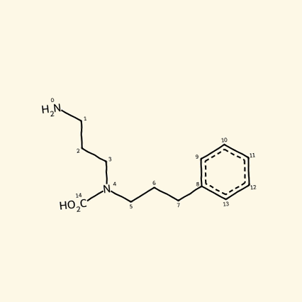 NCCCN(CCCc1ccccc1)C(=O)O